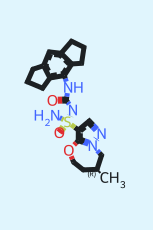 C[C@@H]1CCOc2c(S(N)(=O)=NC(=O)Nc3c4c(cc5c3CCC5)CCC4)cnn2C1